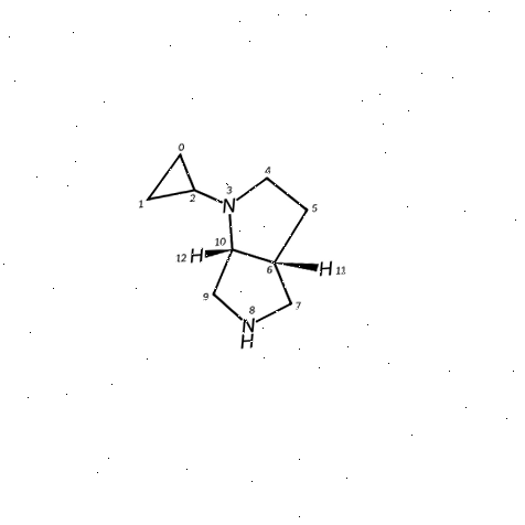 C1CC1N1CC[C@@H]2CNC[C@@H]21